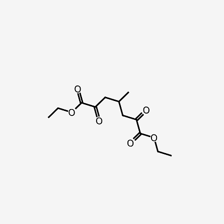 CCOC(=O)C(=O)CC(C)CC(=O)C(=O)OCC